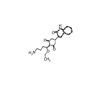 CCOC(CCCN)=C1C(=O)CC(c2cc3ccccc3[nH]c2=O)CC1=O